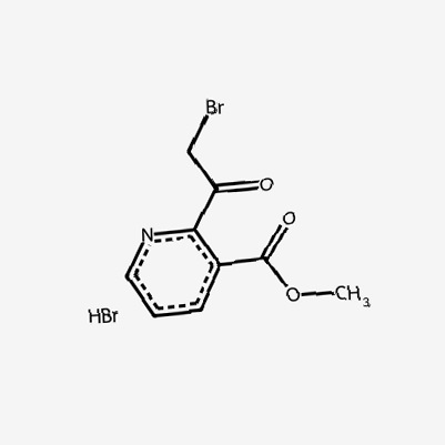 Br.COC(=O)c1cccnc1C(=O)CBr